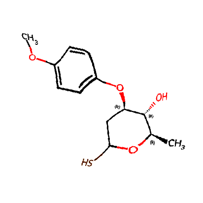 COc1ccc(O[C@@H]2CC(S)O[C@H](C)[C@H]2O)cc1